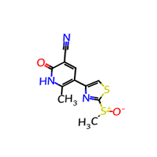 Cc1[nH]c(=O)c(C#N)cc1-c1csc([S+](C)[O-])n1